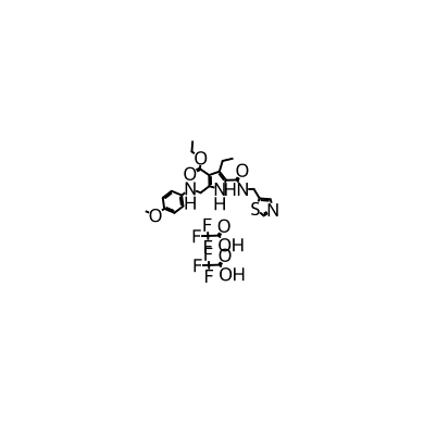 CCOC(=O)c1c(CNc2ccc(OC)cc2)[nH]c(C(=O)NCc2cncs2)c1CC.O=C(O)C(F)(F)F.O=C(O)C(F)(F)F